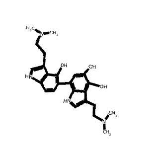 CN(C)CCc1c[nH]c2ccc(-c3cc(O)c(O)c4c(CCN(C)C)c[nH]c34)c(O)c12